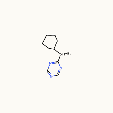 CC[SiH](c1ncncn1)C1CCCCC1